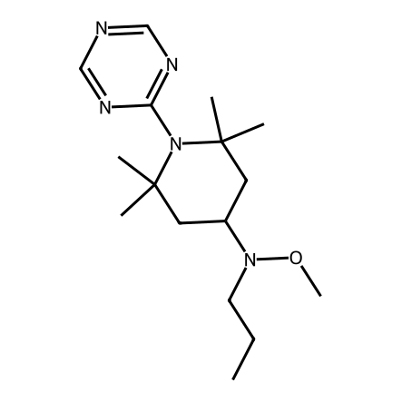 CCCN(OC)C1CC(C)(C)N(c2ncncn2)C(C)(C)C1